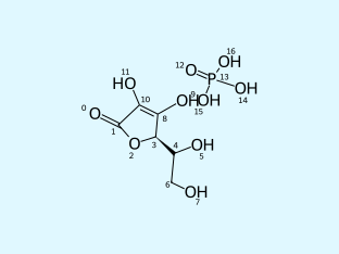 O=C1O[C@H](C(O)CO)C(O)=C1O.O=P(O)(O)O